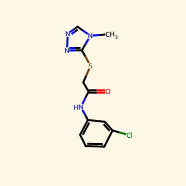 Cn1cnnc1SCC(=O)Nc1cccc(Cl)c1